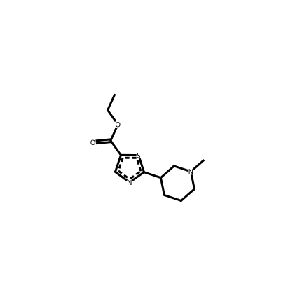 CCOC(=O)c1cnc(C2CCCN(C)C2)s1